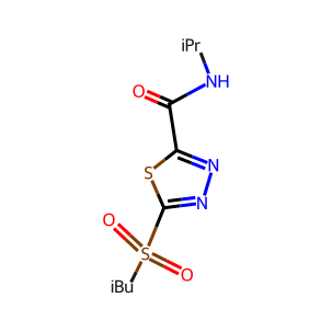 CCC(C)S(=O)(=O)c1nnc(C(=O)NC(C)C)s1